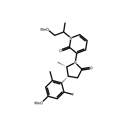 COCC(C)n1cccc(N2C(=O)C[C@H](c3c(C)cc(OC)cc3F)[C@@H]2C)c1=O